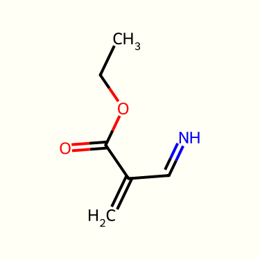 C=C(C=N)C(=O)OCC